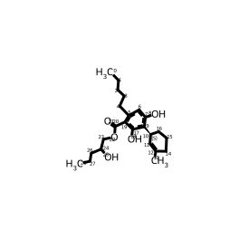 CCCCCc1cc(O)c([C@@H]2C=C(C)CCC2)c(O)c1C(=O)OCC(O)CCC